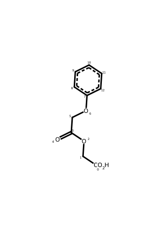 O=C(O)COC(=O)COc1ccccc1